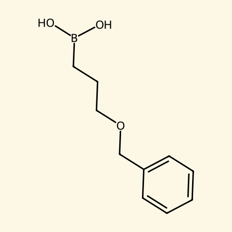 OB(O)CCCOCc1ccccc1